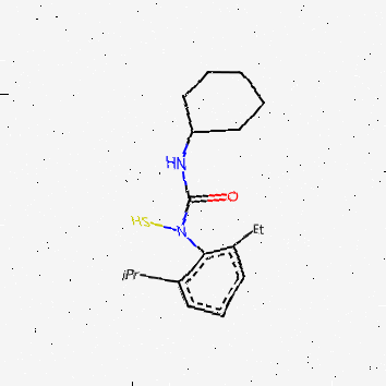 CCc1cccc(C(C)C)c1N(S)C(=O)NC1CCCCC1